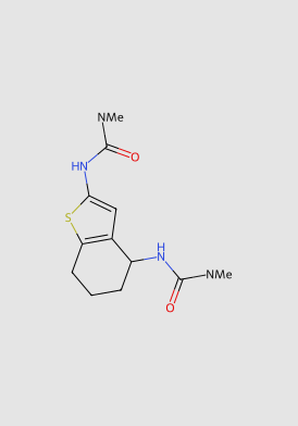 CNC(=O)Nc1cc2c(s1)CCCC2NC(=O)NC